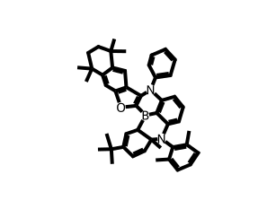 Cc1cccc(C)c1N1c2cccc3c2B(c2oc4cc5c(cc4c2N3c2ccccc2)C(C)(C)CCC5(C)C)C2C=C(C(C)(C)C)C=CC21C